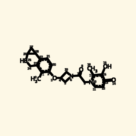 Cc1c(OC2CN(C(=O)Cn3ccc(=O)c(O)c3C)C2)ccc2c1CBC1CC21